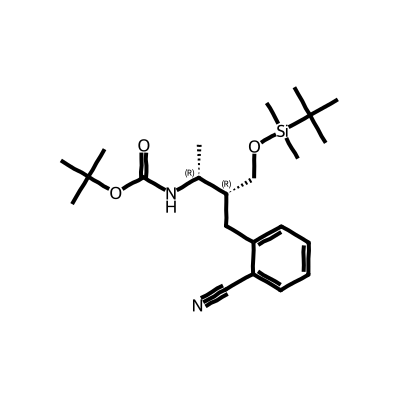 C[C@@H](NC(=O)OC(C)(C)C)[C@H](CO[Si](C)(C)C(C)(C)C)Cc1ccccc1C#N